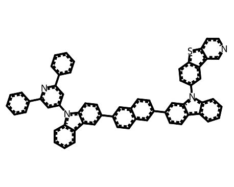 c1ccc(-c2cc(-n3c4ccccc4c4cc(-c5ccc6cc(-c7ccc8c9ccccc9n(-c9ccc%10sc%11ccncc%11c%10c9)c8c7)ccc6c5)ccc43)cc(-c3ccccc3)n2)cc1